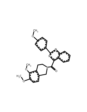 COc1ccc(-c2nc(C(=O)N3CCc4c(ccc(OC)c4OC)C3)c3ccccc3n2)cc1